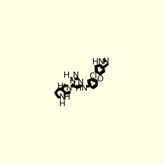 Nc1nc(Nc2ccc(Oc3ccc4[nH]ncc4c3)c(Cl)c2)cc(N2C[C@H]3CCCN[C@H]3C2)n1